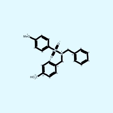 COc1ccc(S(=O)(=O)N(Cc2ccccc2)Cc2ccc(C(=O)O)cc2)cc1